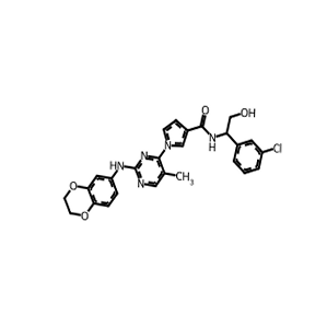 Cc1cnc(Nc2ccc3c(c2)OCCO3)nc1-n1ccc(C(=O)NC(CO)c2cccc(Cl)c2)c1